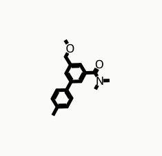 COCc1cc(C(=O)N(C)C)cc(-c2ccc(C)cc2)c1